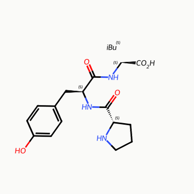 CC[C@H](C)[C@H](NC(=O)[C@H](Cc1ccc(O)cc1)NC(=O)[C@@H]1CCCN1)C(=O)O